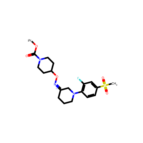 CC(C)OC(=O)N1CCC(O/N=C2/CCCN(c3ccc(S(C)(=O)=O)cc3F)C2)CC1